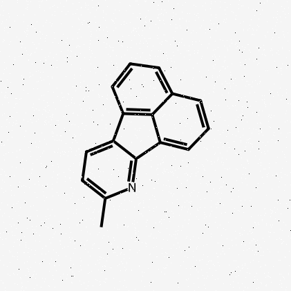 Cc1ccc2c(n1)-c1cccc3cccc-2c13